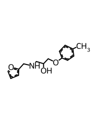 Cc1ccc(OCC(O)CNCc2ccco2)cc1